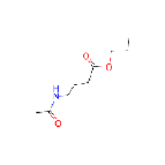 CCCOC(=O)CCCNC(C)=O